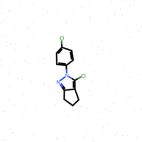 Clc1ccc(-n2nc3c(c2Cl)CCC3)cc1